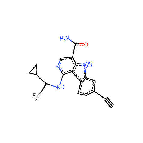 C#Cc1ccc2c(c1)[nH]c1c(C(N)=O)cnc(NC(C3CC3)C(F)(F)F)c12